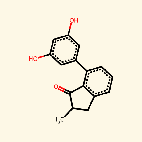 CC1Cc2cccc(-c3cc(O)cc(O)c3)c2C1=O